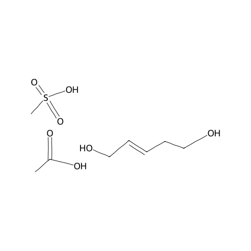 CC(=O)O.CS(=O)(=O)O.OCC=CCCO